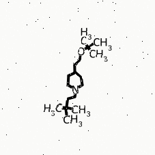 CC(C)(C)CCN1CCC(CCOC(C)(C)C)CC1